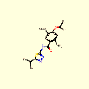 CCC(CC)Oc1cc([N+](=O)[O-])c(C(=O)Nc2nnc(C(CC)CC)s2)cc1OC